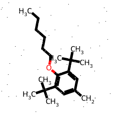 [CH2]c1cc(C(C)(C)C)c(OCCCCCC)c(C(C)(C)C)c1